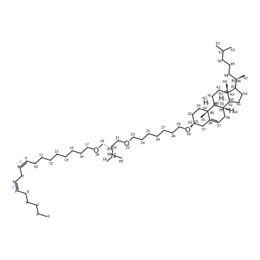 CCCCC/C=C\C/C=C\CCCCCCCCOC[C@H](COCCCCCCCO[C@H]1CC[C@@]2(C)C(=CC[C@@H]3[C@@H]2CC[C@]2(C)C([C@H](C)CCCC(C)C)CC[C@@H]32)C1)N(C)C